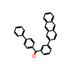 O=C(c1ccc(-c2ccccc2)cc1)c1cccc(-c2ccc3cc4ccccc4cc3c2)c1